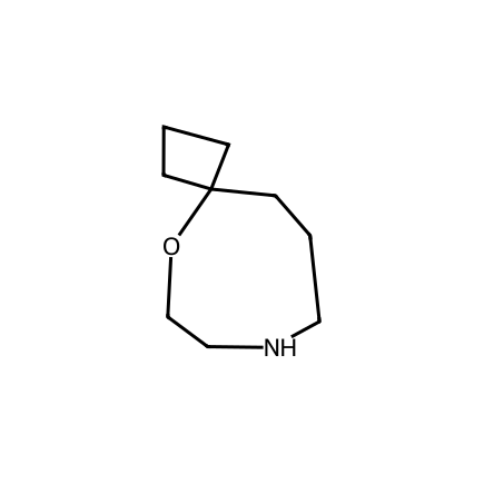 C1CNCCOC2(C1)CCC2